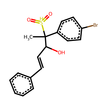 CC(c1ccc(Br)cc1)(C(O)C=Cc1ccccc1)[SH](=O)=O